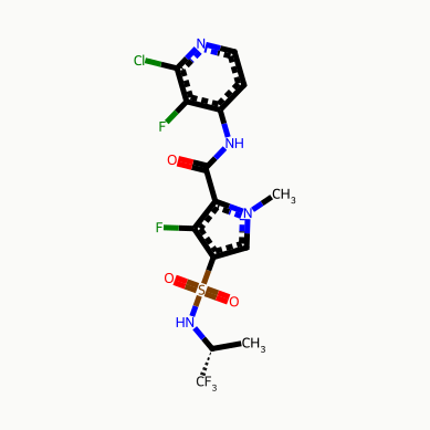 C[C@@H](NS(=O)(=O)c1cn(C)c(C(=O)Nc2ccnc(Cl)c2F)c1F)C(F)(F)F